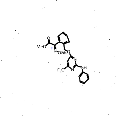 CO/N=C(/C(=O)OC)c1ccccc1COc1cc(C(F)(F)F)nc(Nc2ccccc2)n1